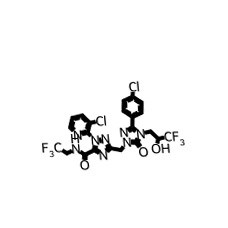 O=C(NCC(F)(F)F)c1nc(Cn2nc(-c3ccc(Cl)cc3)n(CC(O)C(F)(F)F)c2=O)nn1-c1ncccc1Cl